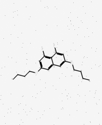 CCCCOc1cc(F)c2c(F)cc(OCCCC)cc2c1